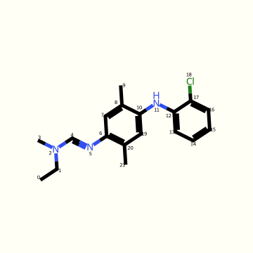 CCN(C)C=Nc1cc(C)c(Nc2ccccc2Cl)cc1C